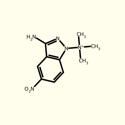 C[N+](C)(C)n1nc(N)c2cc([N+](=O)[O-])ccc21